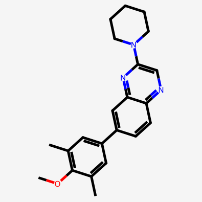 COc1c(C)cc(-c2ccc3ncc(N4CCCCC4)nc3c2)cc1C